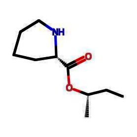 CC[C@H](C)OC(=O)[C@@H]1CCCCN1